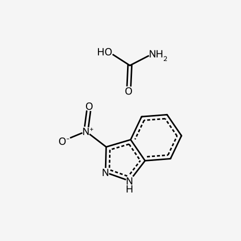 NC(=O)O.O=[N+]([O-])c1n[nH]c2ccccc12